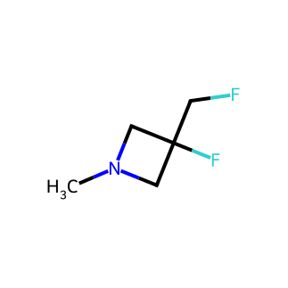 CN1CC(F)(CF)C1